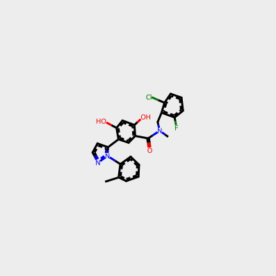 Cc1ccccc1-n1nccc1-c1cc(C(=O)N(C)Cc2c(F)cccc2Cl)c(O)cc1O